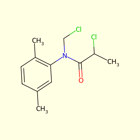 Cc1ccc(C)c(N(CCl)C(=O)C(C)Cl)c1